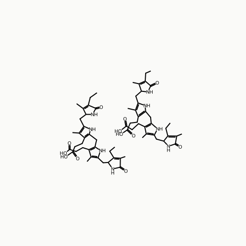 CCC1=C(C)C(Cc2[nH]c(Cc3[nH]c(CC4NC(=O)C(C)=C4CC)c(C)c3CCC(=O)O)c(CCC(=O)O)c2C)NC1=O.CCC1=C(C)C(Cc2[nH]c(Cc3[nH]c(CC4NC(=O)C(C)=C4CC)c(C)c3CCC(=O)O)c(CCC(=O)O)c2C)NC1=O